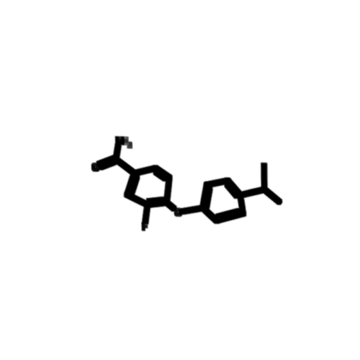 CC(C)c1ccc(Oc2ccc(C(N)=O)cc2F)cc1